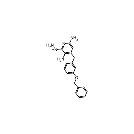 NNc1nc(N)cc(Cc2cccc(OCc3ccccc3)c2)c1N